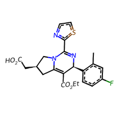 CCOC(=O)C1=C2C[C@@H](CC(=O)O)CN2C(c2nccs2)=N[C@H]1c1ccc(F)cc1C